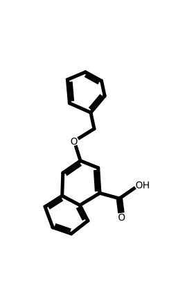 O=C(O)c1cc(OCc2ccccc2)cc2ccccc12